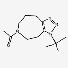 CC(=O)N1CCCc2nnn(C(C)(C)C)c2CC1